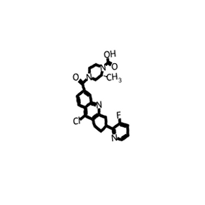 C[C@@H]1CN(C(=O)c2ccc3c(Cl)c4c(nc3c2)CC(c2ncccc2F)CC4)CCN1C(=O)O